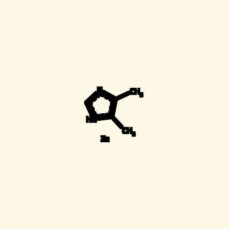 Cc1nc[nH]c1C.[Zn]